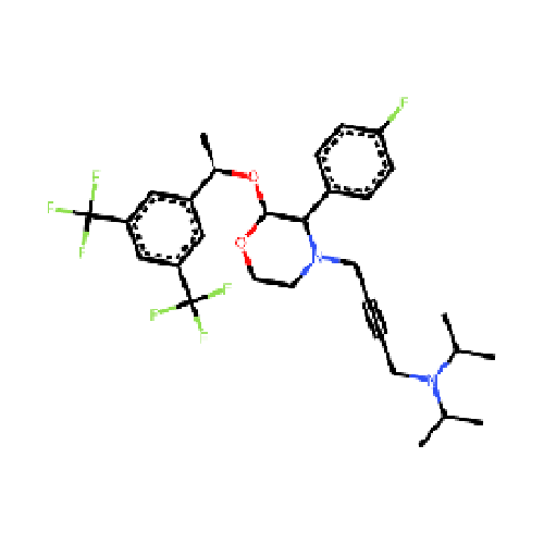 CC(C)N(CC#CCN1CCOC(O[C@H](C)c2cc(C(F)(F)F)cc(C(F)(F)F)c2)C1c1ccc(F)cc1)C(C)C